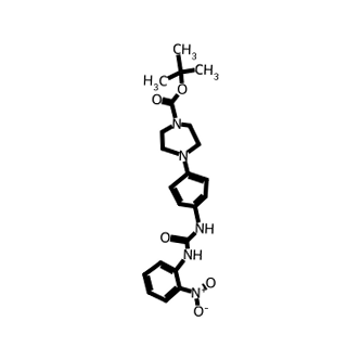 CC(C)(C)OC(=O)N1CCN(c2ccc(NC(=O)Nc3ccccc3[N+](=O)[O-])cc2)CC1